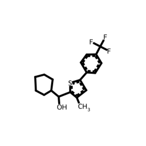 Cc1cc(-c2ccc(C(F)(F)F)cc2)sc1C(O)C1CCCCC1